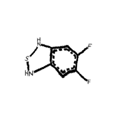 Fc1cc2c(cc1F)NSN2